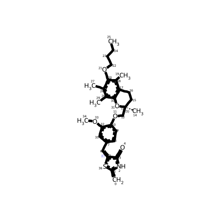 C=c1[nH]c(=O)/c(=C\c2ccc(OC[C@]3(C)CCc4c(C)c(OCCCC)c(C)c(C)c4O3)c(OC)c2)s1